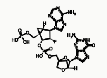 Nc1nc2c(ncn2[C@@H]2O[C@@]3(COP(=O)(O)O[C@H]4[C@@H](F)[C@H](n5cnc6c(N)ncnc65)[C@H]5C[C@@]54COP(=O)(O)O)CO[C@@H]2C3)c(=O)[nH]1